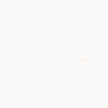 [c]1cccc2c1C1(c3ccccc3Oc3ccccc31)c1ccccc1-2